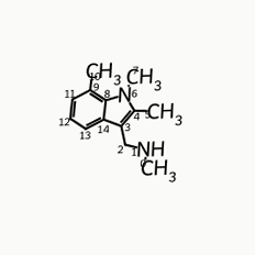 CNCc1c(C)n(C)c2c(C)cccc12